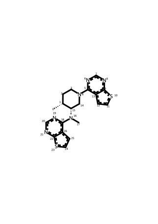 C[C@@H]1CCN(c2ncnc3sccc23)C[C@@H]1N(C)c1ncnc2sccc12